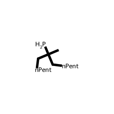 CCCCCCC(C)(P)CCCCCC